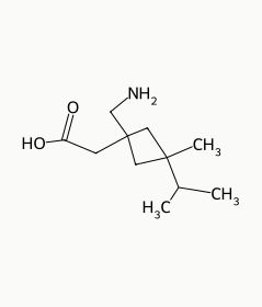 CC(C)C1(C)CC(CN)(CC(=O)O)C1